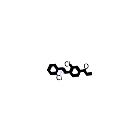 C=CC(=O)c1ccc(/C=C/c2ccccc2Cl)c(Cl)c1